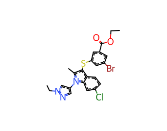 CCOC(=O)c1cc(Br)cc(Sc2c(C)n(-c3cnn(CC)c3)c3cc(Cl)ccc23)c1